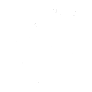 NCc1c(F)cccc1C1C(=S)C=CC=C1C=O